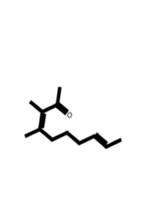 CC=CCCCC(C)=C(C)C(C)=O